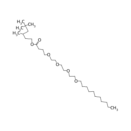 CCCCCCCCCCCOCCOCCOCCOCCCC(=O)OCCC(C)CC(C)(C)C